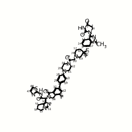 Cn1nc(N2CCC(=O)NC2=O)c2ccc([C@H]3CCN(CC(=O)N4CCN(c5ccc(-c6cc(F)c7c(c6)C(=O)N(C(C(=O)Nc6nccs6)c6ncn8c6CCC8)C7)cc5)CC4)CC3(F)F)cc21